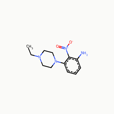 CCN1CCN(c2cccc(N)c2[N+](=O)[O-])CC1